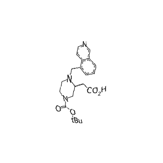 CC(C)(C)OC(=O)N1CCN(Cc2cccc3cnccc23)C(CC(=O)O)C1